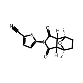 C[C@]12CC[C@](C)(O1)[C@@H]1C(=O)N(c3ccc(C#N)s3)C(=O)[C@@H]12